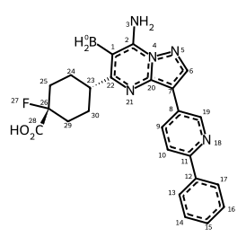 Bc1c(N)n2ncc(-c3ccc(-c4ccccc4)nc3)c2nc1[C@H]1CC[C@](F)(C(=O)O)CC1